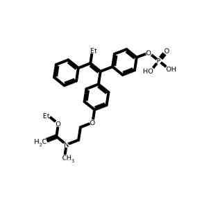 C=C(OCC)N(C)CCOc1ccc(/C(=C(/CC)c2ccccc2)c2ccc(OP(=O)(O)O)cc2)cc1